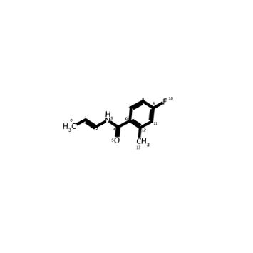 CC=CNC(=O)c1ccc(F)cc1C